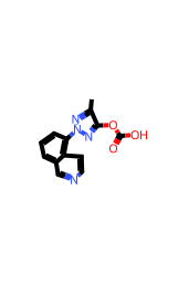 Cc1nn(-c2cccc3cnccc23)nc1OC(=O)O